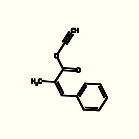 C#COC(=O)C(C)=Cc1ccccc1